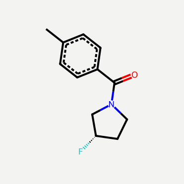 Cc1ccc(C(=O)N2CC[C@H](F)C2)cc1